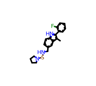 Cc1c(-c2ccccc2F)[nH]c2ccc(CNSN3CCCC3)cc12